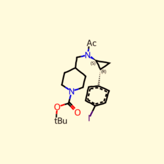 CC(=O)N(CC1CCN(C(=O)OC(C)(C)C)CC1)[C@H]1C[C@@H]1c1ccc(I)cc1